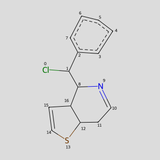 ClC(c1ccccc1)C1N=CCC2SC=CC21